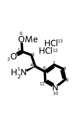 COC(=O)C[C@H](N)c1cccnc1.Cl.Cl